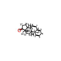 C[C@]12C=CCC=C1C=C[C@@H]1[C@@H]2CC[C@]2(C)C(=O)CC[C@@H]12